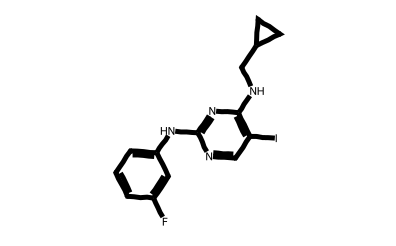 Fc1cccc(Nc2ncc(I)c(NCC3CC3)n2)c1